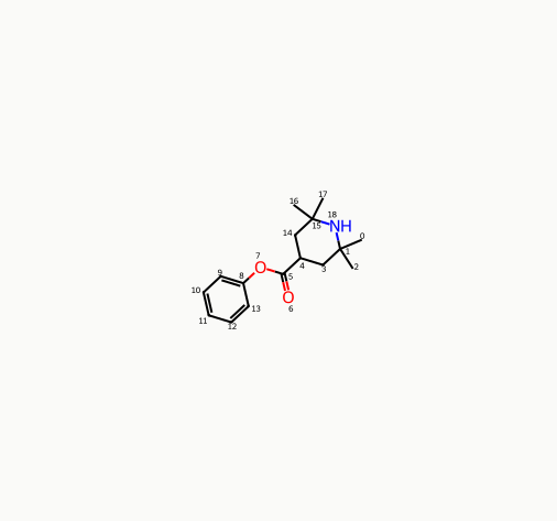 CC1(C)CC(C(=O)Oc2ccccc2)CC(C)(C)N1